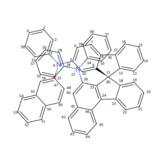 c1ccc(N(c2ccc3c(c2)[C@@]2(c4ccccc4-3)c3ccccc3-c3c2c(N(c2ccccc2)c2ccccc2)cc2ccccc32)c2ccc3ccccc3c2)cc1